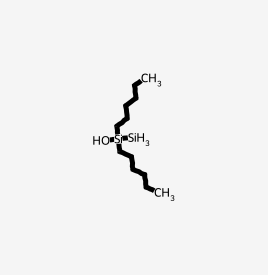 CCCCCC[Si](O)([SiH3])CCCCCC